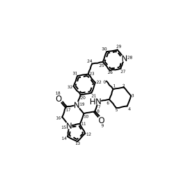 CC1CCCCC1NC(=O)C1c2cccn2CC(=O)N1c1ccc(Cc2ccncc2)cc1